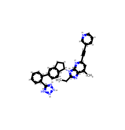 CCc1nc2c(C)cc(C#Cc3cccnc3)nc2n1[C@H]1CCc2cc(-c3ccccc3-c3nnn[nH]3)ccc21